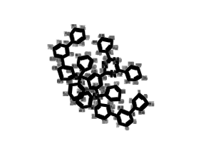 c1ccc(-c2cccc(-c3cccc([Si](c4ccccc4)(c4ccccc4)c4cc(-c5nc(-c6ccccc6)nc(-c6ccccc6)n5)cc([Si](c5ccccc5)(c5ccccc5)c5cccc(-c6cccc(-c7ccccc7)c6)c5)c4)c3)c2)cc1